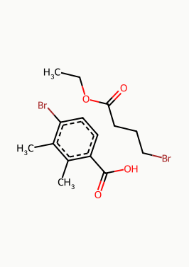 CCOC(=O)CCCBr.Cc1c(Br)ccc(C(=O)O)c1C